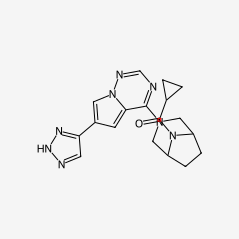 O=C(C1CC1)N1C2CCC1CN(c1ncnn3cc(-c4cn[nH]n4)cc13)C2